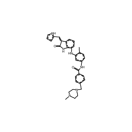 Cc1ccc(NC(=O)c2ccc(CN3CCN(C)CC3)cc2)cc1Nc1cccc2c1NC(=O)/C2=C\c1ccc[nH]1